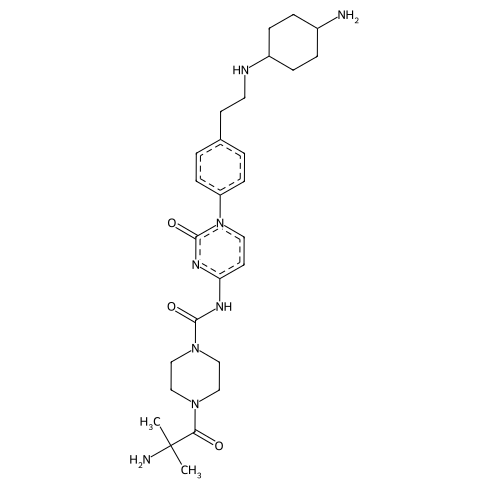 CC(C)(N)C(=O)N1CCN(C(=O)Nc2ccn(-c3ccc(CCNC4CCC(N)CC4)cc3)c(=O)n2)CC1